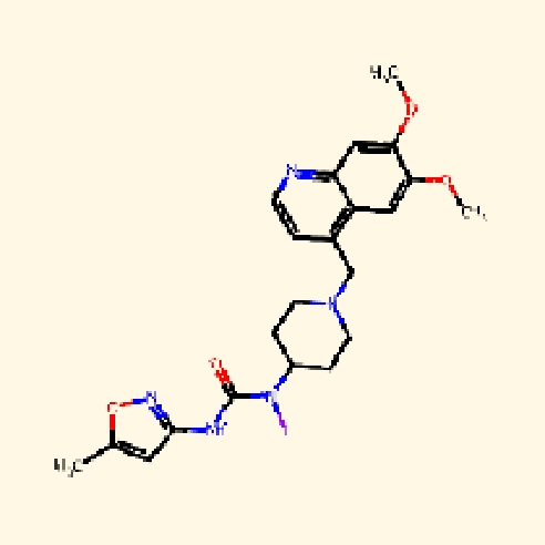 COc1cc2nccc(CN3CCC(N(I)C(=O)Nc4cc(C)on4)CC3)c2cc1OC